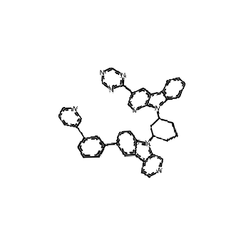 c1cncc(-c2cccc(-c3ccc4c(c3)c3ccncc3n4C3CCCC(n4c5ccccc5c5cc(-c6ncncn6)cnc54)C3)c2)c1